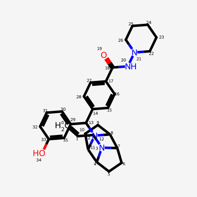 C=CCN1C2CCC1C1CCC2N1C(c1ccc(C(=O)NN2CCCCC2)cc1)c1cccc(O)c1